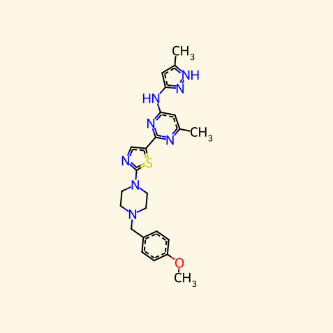 COc1ccc(CN2CCN(c3ncc(-c4nc(C)cc(Nc5cc(C)[nH]n5)n4)s3)CC2)cc1